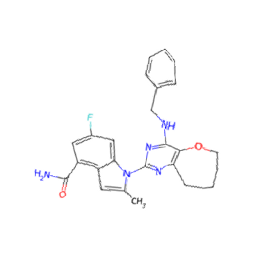 Cc1cc2c(C(N)=O)cc(F)cc2n1-c1nc2c(c(NCc3ccccc3)n1)OCCCC2